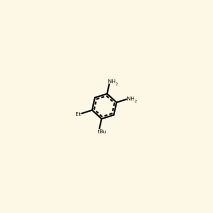 CCc1cc(N)c(N)cc1C(C)(C)C